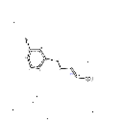 O=C(O)/C=C/CCc1cccc(F)c1